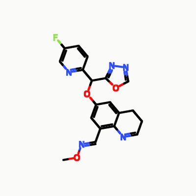 CO/N=C/c1cc(OC(c2ccc(F)cn2)c2nnco2)cc2c1N=CCC2